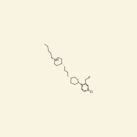 CCCCC[Si@H]1CC[C@H](CCCC[C@H]2CC[C@H](c3ccc(Cl)cc3CF)CC2)CC1